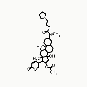 CC(=O)OC1CC2(O)C3CCC4CC(N(C)C(=O)OCCN5CCCC5)CCC4(C)C3CCC2(C)C1c1ccc(=O)oc1